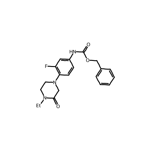 CCN1CCN(c2ccc(NC(=O)OCc3ccccc3)cc2F)CC1=O